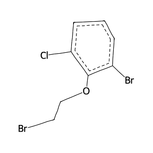 Clc1cccc(Br)c1OCCBr